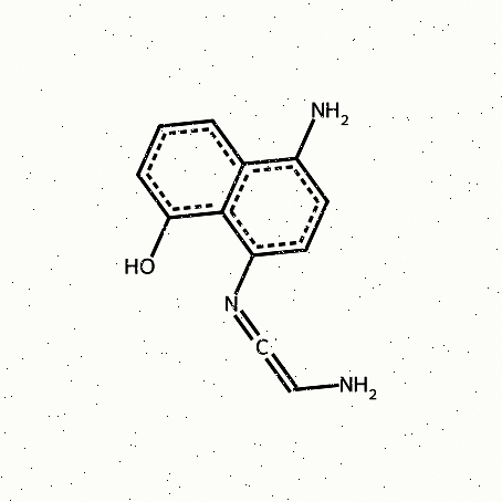 NC=C=Nc1ccc(N)c2cccc(O)c12